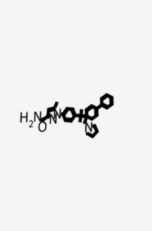 Cc1cc(C(N)=O)nn1-c1ccc(C(C)(C)C2(CN3CCCC3)C=CC(c3ccccc3)=CC2)cc1